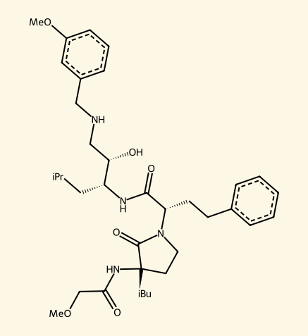 CC[C@H](C)C1(NC(=O)COC)CCN([C@@H](CCc2ccccc2)C(=O)N[C@H](CC(C)C)[C@@H](O)CNCc2cccc(OC)c2)C1=O